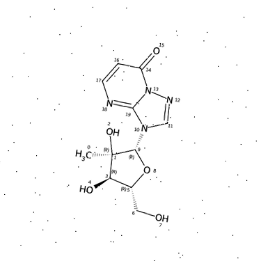 C[C@@]1(O)[C@H](O)[C@@H](CO)O[C@H]1n1cnn2c(=O)ccnc12